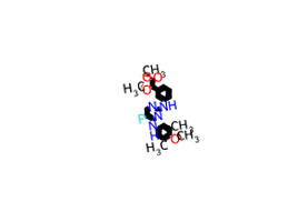 COC(=O)C(OC)c1cccc(Nc2ncc(F)c(Nc3cc(C)c(OC)c(C)c3)n2)c1